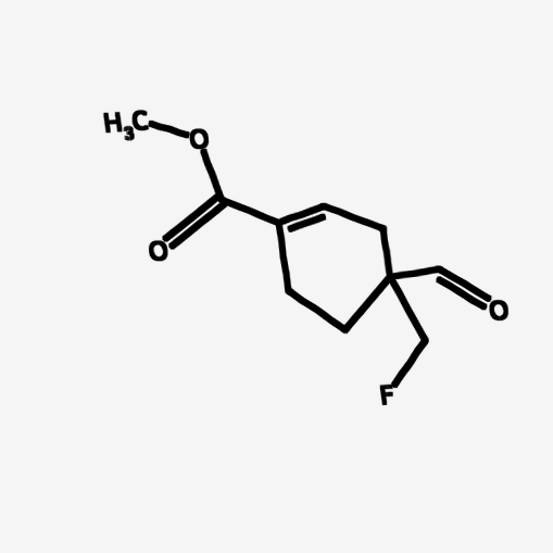 COC(=O)C1=CCC(C=O)(CF)CC1